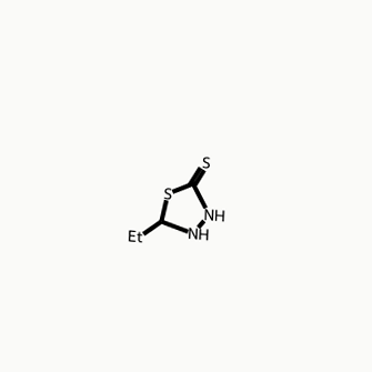 CCC1NNC(=S)S1